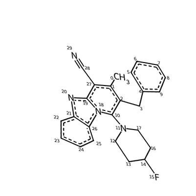 Cc1c(Cc2ccccc2)c(N2CCC(F)CC2)n2c(nc3ccccc32)c1C#N